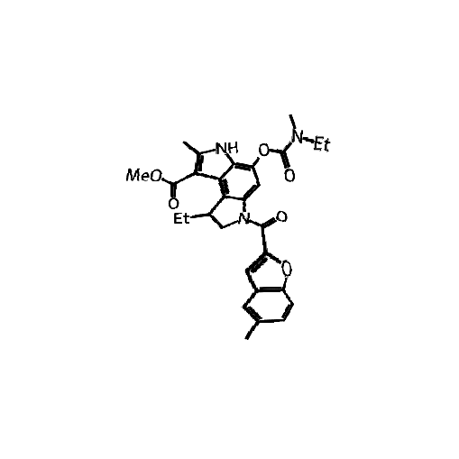 CCC1CN(C(=O)c2cc3cc(C)ccc3o2)c2cc(OC(=O)N(C)CC)c3[nH]c(C)c(C(=O)OC)c3c21